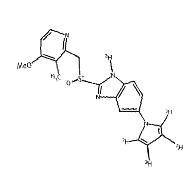 [2H]c1c([2H])c([2H])n(-c2ccc3c(c2)nc([S+]([O-])Cc2nccc(OC)c2C)n3[2H])c1[2H]